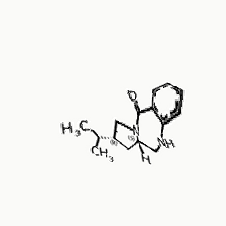 CC(C)[C@H]1C[C@H]2CNc3ccccc3C(=O)N2C1